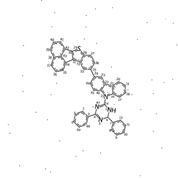 c1ccc(C2=NC(c3ccccc3)NC(n3c4ccccc4c4cc(-c5ccc6sc7c(c6c5)-c5cccc6cccc-7c56)ccc43)=N2)cc1